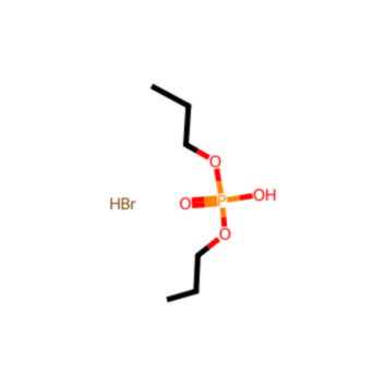 Br.CCCOP(=O)(O)OCCC